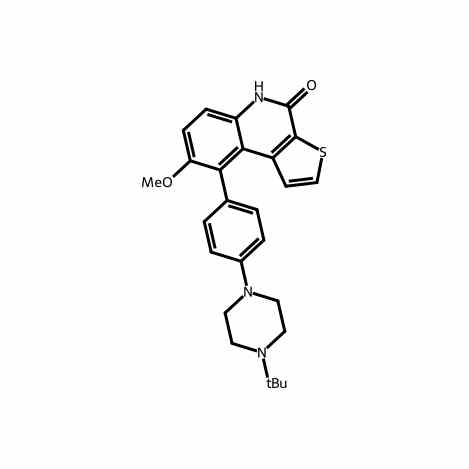 COc1ccc2[nH]c(=O)c3sccc3c2c1-c1ccc(N2CCN(C(C)(C)C)CC2)cc1